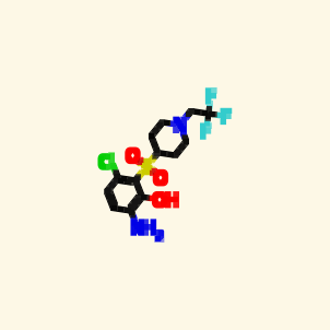 Nc1ccc(Cl)c(S(=O)(=O)C2CCN(CC(F)(F)F)CC2)c1O